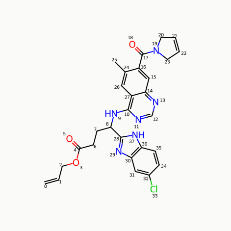 C=CCOC(=O)CCC(Nc1ncnc2cc(C(=O)N3CC=CC3)c(C)cc12)c1nc2cc(Cl)ccc2[nH]1